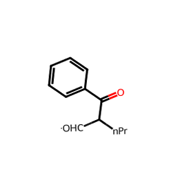 CCCC([C]=O)C(=O)c1ccccc1